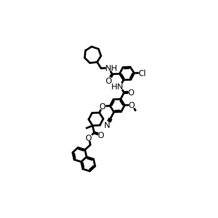 COc1cc(C#N)c(OC2CCC(C)(C(=O)OCc3cccc4ccccc34)CC2)cc1C(=O)Nc1cc(Cl)ccc1C(=O)NCC1CCCCCC1